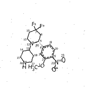 COc1cc([C@H]2CC(F)(F)CCN2C2CCNCC2)ccc1[N+](=O)[O-]